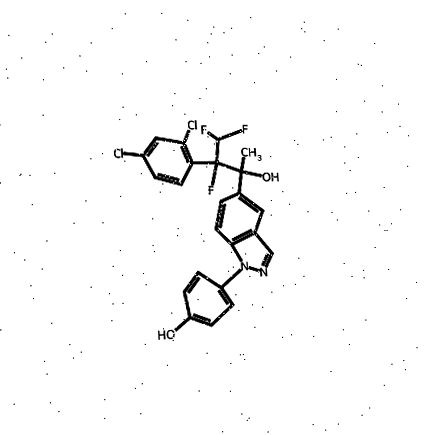 CC(O)(c1ccc2c(cnn2-c2ccc(O)cc2)c1)C(F)(c1ccc(Cl)cc1Cl)C(F)F